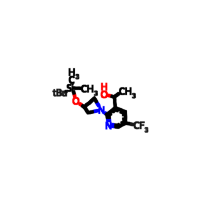 CC(O)c1cc(C(F)(F)F)cnc1N1CC(O[Si](C)(C)C(C)(C)C)C1